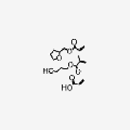 C=C(C)C(=O)OCCCO.C=CC(=O)O.C=CC(=O)OCC1CCCO1